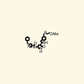 COCCN(C)Cc1ccc2[nH]c(-c3cc(NC(=O)c4cnn(Cc5ccccc5)c4)c[nH]c3=O)cc2c1